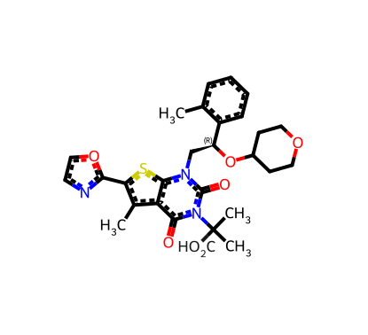 Cc1ccccc1[C@H](Cn1c(=O)n(C(C)(C)C(=O)O)c(=O)c2c(C)c(-c3ncco3)sc21)OC1CCOCC1